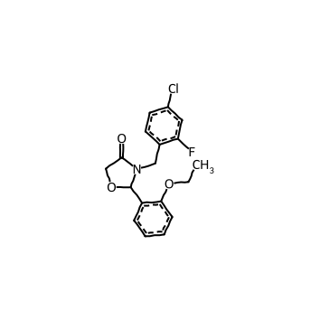 CCOc1ccccc1C1OCC(=O)N1Cc1ccc(Cl)cc1F